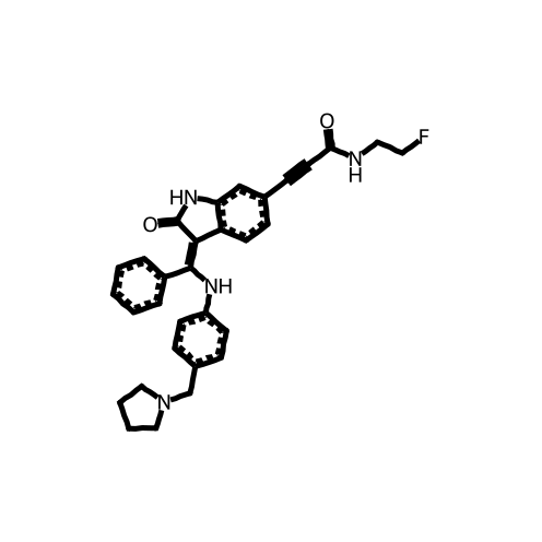 O=C(C#Cc1ccc2c(c1)NC(=O)C2=C(Nc1ccc(CN2CCCC2)cc1)c1ccccc1)NCCF